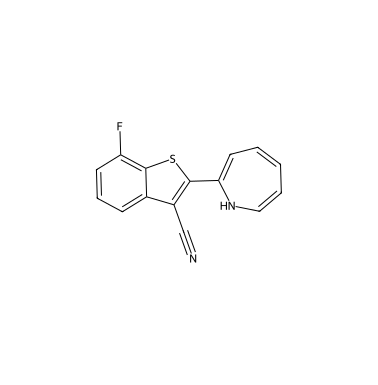 N#Cc1c(C2=CC=CC=CN2)sc2c(F)cccc12